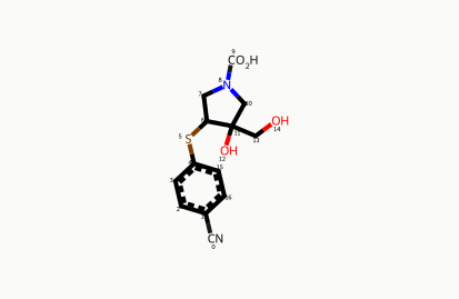 N#Cc1ccc(SC2CN(C(=O)O)CC2(O)CO)cc1